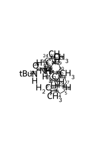 C=C(C)[C@@H]1CC[C@@H]2CC[C@]3(C)[C@H](CC[C@@H]4[C@@]5(C)C(NC(=O)NC(C)(C)C)CCC(C)(C)[C@@H]5CC[C@]43C)[C@H]21